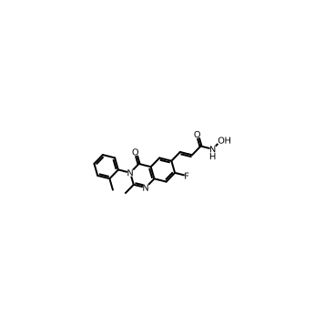 Cc1ccccc1-n1c(C)nc2cc(F)c(/C=C/C(=O)NO)cc2c1=O